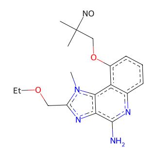 CCOCc1nc2c(N)nc3cccc(OCC(C)(C)N=O)c3c2n1C